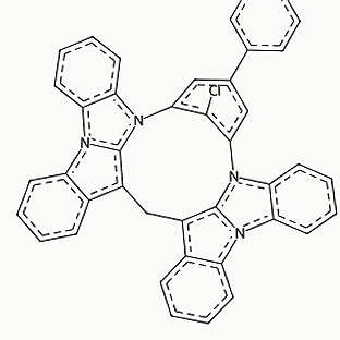 Clc1c2cc(-c3ccccc3)cc1-n1c3ccccc3n3c4ccccc4c(c13)Cc1c3ccccc3n3c4ccccc4n-2c13